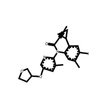 CC#CC(=O)N(c1cc(C)c(I)cc1C1CC1)c1ncc(OC2CCOC2)cc1C